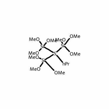 CCCS([Si](OC)(OC)OC)([Si](OC)(OC)OC)[Si](OC)(OC)OC